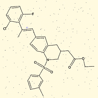 CCOC(=O)CC1Cc2cc(/C=C(\C)c3c(F)cccc3Cl)ccc2N(S(=O)(=O)c2cccc(C)c2)C1